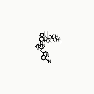 CC(C)(C)OC(=O)NC1CN(c2ncc(Sc3ccnc4c(C#N)cccc34)c3nccn23)CCC12CCCC2